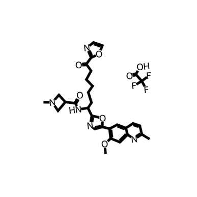 COc1cc2nc(C)ccc2cc1-c1cnc(C(CCCCCC(=O)c2ncco2)NC(=O)C2CN(C)C2)o1.O=C(O)C(F)(F)F